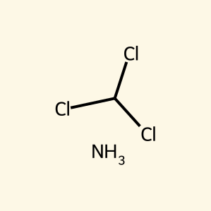 ClC(Cl)Cl.N